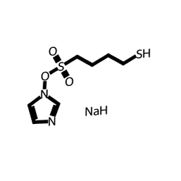 O=S(=O)(CCCCS)On1ccnc1.[NaH]